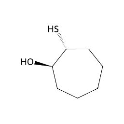 O[C@@H]1CCCCC[C@H]1S